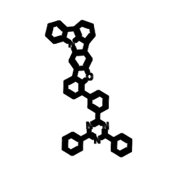 c1ccc(-c2nc(-c3ccccc3)nc(-c3cccc(-c4cccc5c4oc4cc6c7cccc8c9ccccc9n(c6cc45)c87)c3)n2)cc1